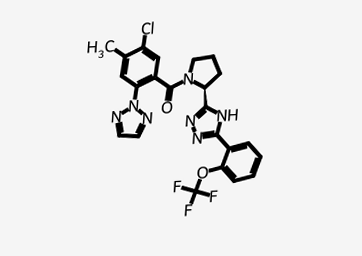 Cc1cc(-n2nccn2)c(C(=O)N2CCC[C@H]2c2nnc(-c3ccccc3OC(F)(F)F)[nH]2)cc1Cl